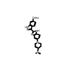 COc1ccc2c(-c3nc4cc(N5CCC(N(C)C)CC5)ccc4[nH]3)n[nH]c2c1